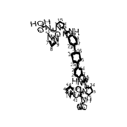 O=C(O)N[C@@H](Cn1cccn1)C(=O)N1CCC[C@H]1c1nc2cc(-c3ccc(-c4ccc5[nH]c([C@@H]6CCCN6C(=O)[C@H](Cn6cccn6)NC6OCO6)nc5c4)cc3)ccc2[nH]1